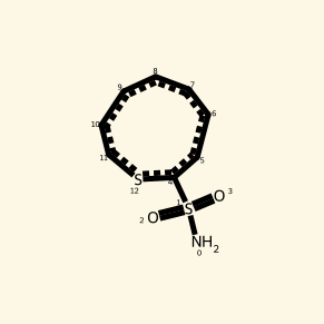 NS(=O)(=O)c1cccccccs1